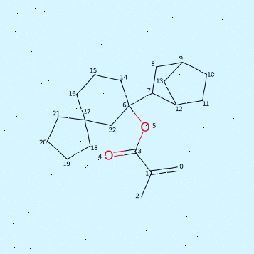 C=C(C)C(=O)OC1(C2CC3CCC2C3)CCCC2(CCCC2)C1